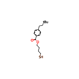 CC(C)(C)CCc1ccc(C(=O)OCCCCS)cc1